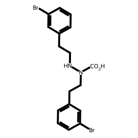 O=C(O)N(CCc1cccc(Br)c1)NCCc1cccc(Br)c1